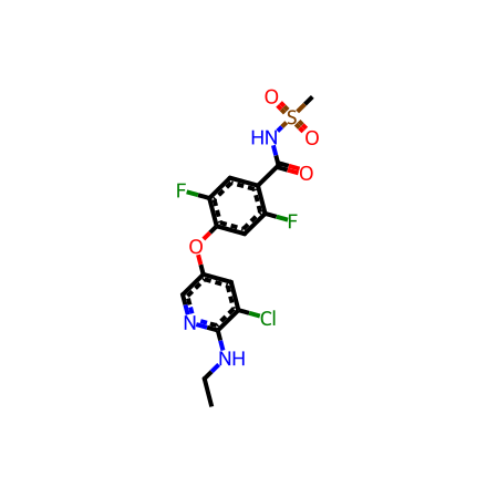 CCNc1ncc(Oc2cc(F)c(C(=O)NS(C)(=O)=O)cc2F)cc1Cl